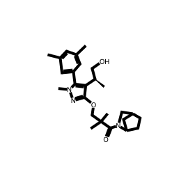 Cc1cc(C)cc(-c2c([C@H](C)CO)c(OCC(C)(C)C(=O)N3CC4CCC3C4)nn2C)c1